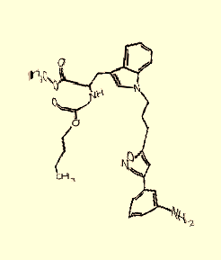 CCCCOC(=O)NC(Cc1cn(CCCc2cc(-c3cccc(N)c3)no2)c2ccccc12)C(=O)OC